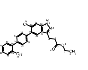 CCOC(=O)CCc1n[nH]c2cc(Cl)c(-c3ccc(-c4ccccc4O)cc3)cc12